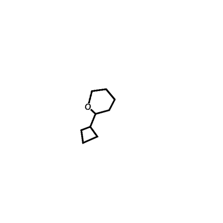 C1CCC(C2CCC2)OC1